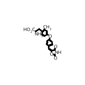 Cc1cc(Oc2ccc(/C=C3/OC(=O)NC3=O)cc2)ccc1CC(N)C(=O)O